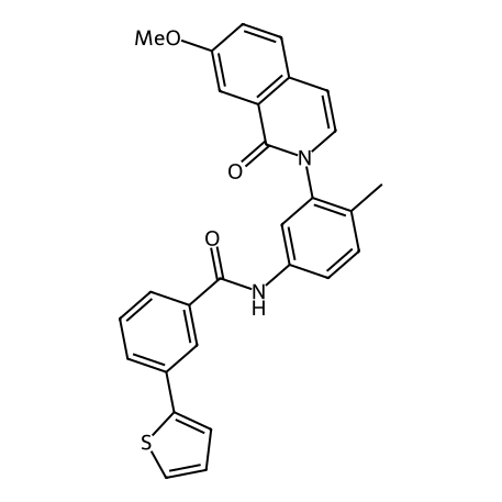 COc1ccc2ccn(-c3cc(NC(=O)c4cccc(-c5cccs5)c4)ccc3C)c(=O)c2c1